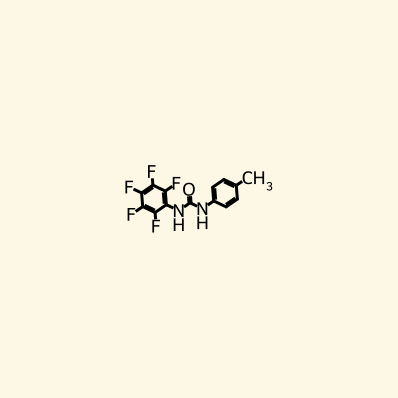 Cc1ccc(NC(=O)Nc2c(F)c(F)c(F)c(F)c2F)cc1